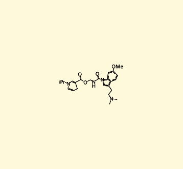 COc1ccc2c(CCN(C)C)cn(C(=O)NCOC(=O)C3=CN(C(C)C)C=CC3)c2c1